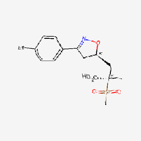 CCc1ccc(C2=NO[C@@H](C[C@](C)(C(=O)O)S(C)(=O)=O)C2)cc1